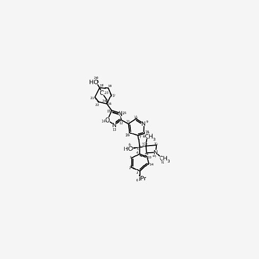 CC(C)c1ccc([C@](O)(c2cncc(-c3noc(C45CCC(O)(CC4)CC5)n3)c2)C2(C)CN(C)C2)cc1